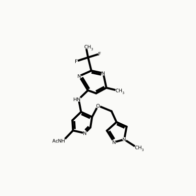 CC(=O)Nc1cc(Nc2cc(C)nc(C(C)(F)F)n2)c(OCc2cnn(C)c2)cn1